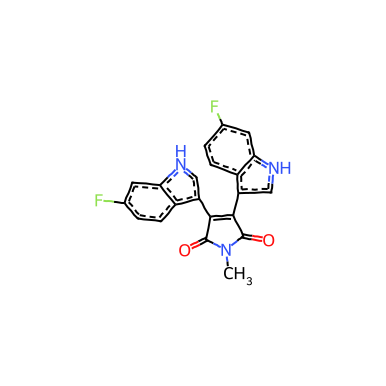 CN1C(=O)C(c2c[nH]c3cc(F)ccc23)=C(c2c[nH]c3cc(F)ccc23)C1=O